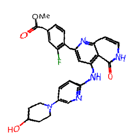 COC(=O)c1ccc(-c2cc(Nc3ccc(N4CCC(O)CC4)cn3)c3c(=O)[nH]ccc3n2)c(F)c1